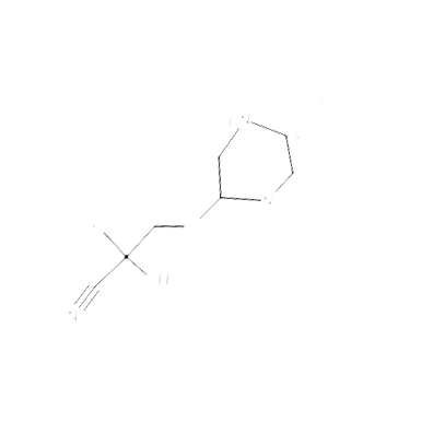 C[C@@H]1CNC(OCC(C)(C)C#N)CN1